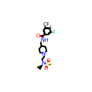 CS(=O)(=O)N(CCN1CCC(CNC(=O)c2cc(F)cc(C(F)(F)F)c2)CC1)C1CC1